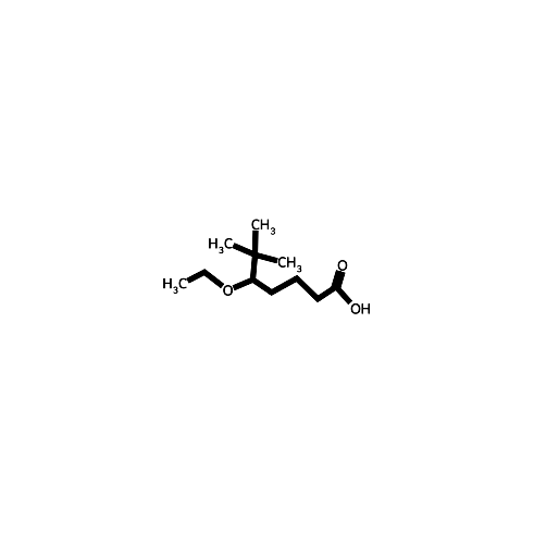 CCOC(CCCC(=O)O)C(C)(C)C